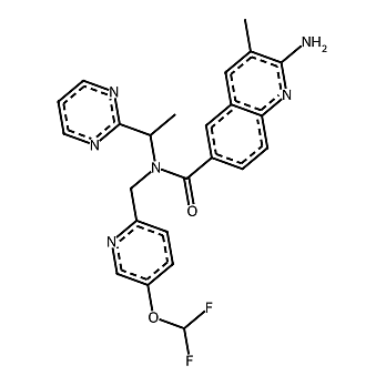 Cc1cc2cc(C(=O)N(Cc3ccc(OC(F)F)cn3)C(C)c3ncccn3)ccc2nc1N